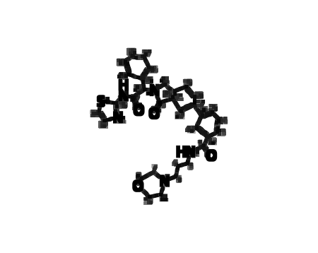 O=C(NCCCN1CCOCC1)c1cccc(-c2ccc3c(c2)C(=O)N(C(C(=O)Nc2nccs2)c2ccccc2)C3)c1